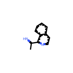 CC(=N)c1nccc2ccccc12